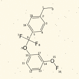 CCc1ccc(C(F)(F)Oc2cccc(OF)c2)cc1